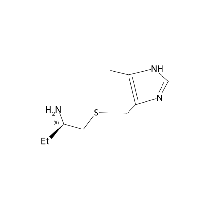 CC[C@@H](N)CSCc1nc[nH]c1C